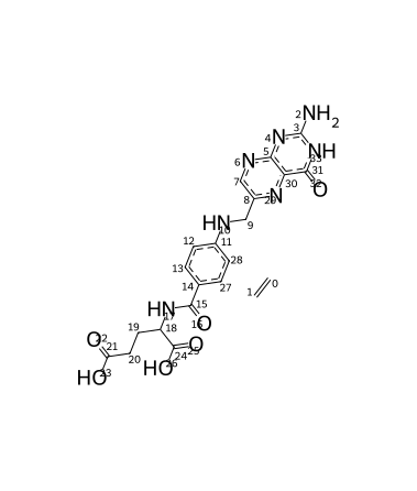 C=C.Nc1nc2ncc(CNc3ccc(C(=O)NC(CCC(=O)O)C(=O)O)cc3)nc2c(=O)[nH]1